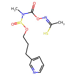 CC(S)=NOC(=O)N(C)S(=O)OCCCc1cccnc1